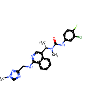 C[C@@H](c1cnc(NCc2ncn(C)n2)c2ccccc12)N(C)C(=O)Nc1ccc(F)c(Cl)c1